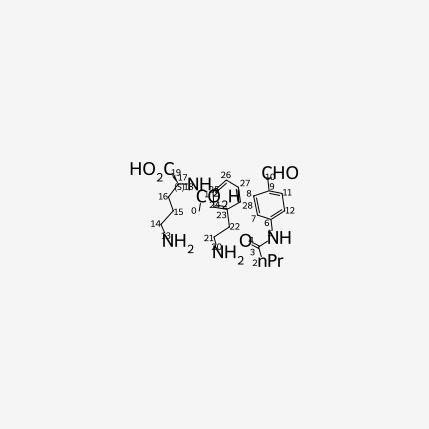 CC(=O)O.CCCC(=O)Nc1ccc(C=O)cc1.NCCC[C@H](N)C(=O)O.NCCc1ccccc1